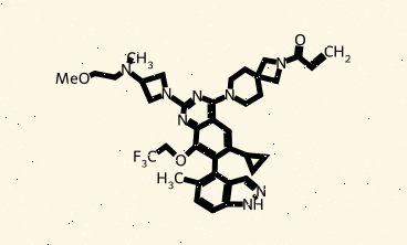 C=CC(=O)N1CC2(CCN(c3nc(N4CC(N(C)CCOC)C4)nc4c(OCC(F)(F)F)c(-c5c(C)ccc6[nH]ncc56)c(C5CC5)cc34)CC2)C1